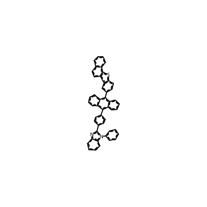 c1ccc(-n2c(-c3ccc(-c4c5ccccc5c(-c5ccc6sc7c8ccccc8ccc7c6c5)c5ccccc45)cc3)nc3ccccc32)cc1